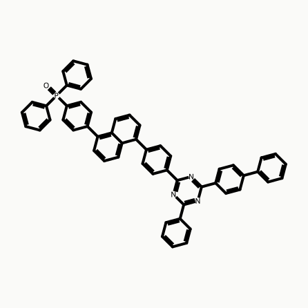 O=P(c1ccccc1)(c1ccccc1)c1ccc(-c2cccc3c(-c4ccc(-c5nc(-c6ccccc6)nc(-c6ccc(-c7ccccc7)cc6)n5)cc4)cccc23)cc1